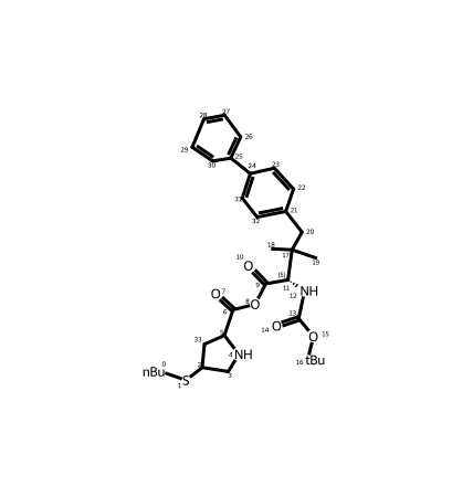 CCCCSC1CNC(C(=O)OC(=O)[C@@H](NC(=O)OC(C)(C)C)C(C)(C)Cc2ccc(-c3ccccc3)cc2)C1